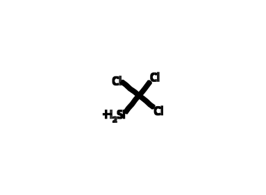 [SiH2]C(Cl)(Cl)Cl